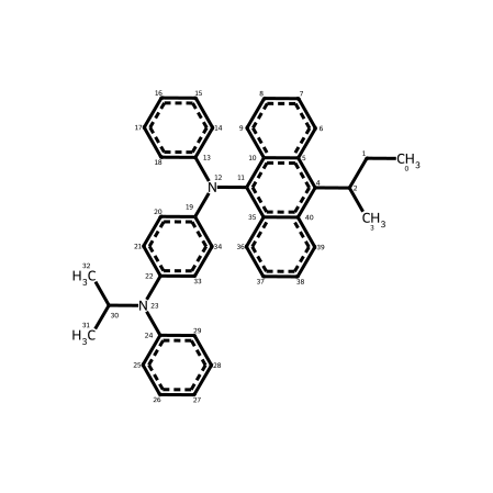 CCC(C)c1c2ccccc2c(N(c2ccccc2)c2ccc(N(c3ccccc3)C(C)C)cc2)c2ccccc12